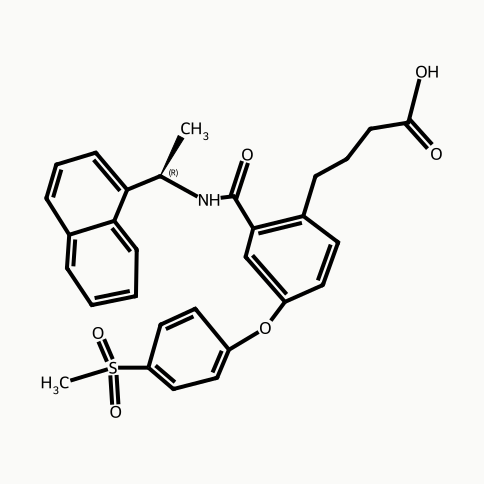 C[C@@H](NC(=O)c1cc(Oc2ccc(S(C)(=O)=O)cc2)ccc1CCCC(=O)O)c1cccc2ccccc12